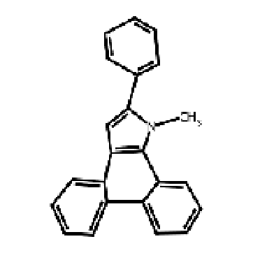 Cn1c(-c2ccccc2)cc2c3ccccc3c3ccccc3c21